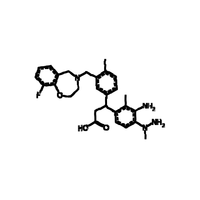 Cc1ccc(C(CC(=O)O)c2ccc(N(C)N)c(N)c2C)cc1CN1CCOc2c(F)cccc2C1